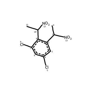 CC(c1cc(Cl)cc(Cl)c1C(C)[N+](=O)[O-])[N+](=O)[O-]